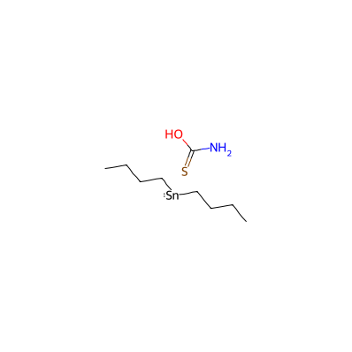 CCC[CH2][Sn][CH2]CCC.NC(O)=S